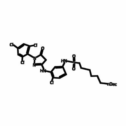 CCCCCCCCCCCCCCCCS(=O)(=O)Nc1ccc(Cl)c(NC2=NN(c3c(Cl)cc(Cl)cc3Cl)C(=O)C2)c1